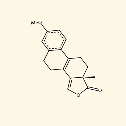 COc1ccc2c(c1)CCC1=C2CC[C@]2(C)C(=O)OC=C12